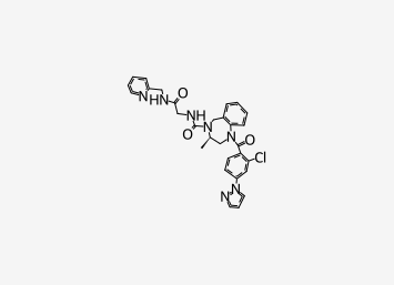 C[C@@H]1CN(C(=O)c2ccc(-n3cccn3)cc2Cl)c2ccccc2CN1C(=O)NCC(=O)NCc1ccccn1